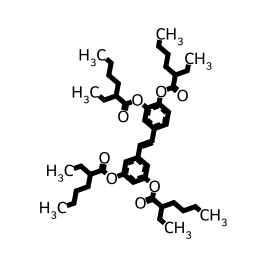 CCCCC(CC)C(=O)Oc1cc(C=Cc2ccc(OC(=O)C(CC)CCCC)c(OC(=O)C(CC)CCCC)c2)cc(OC(=O)C(CC)CCCC)c1